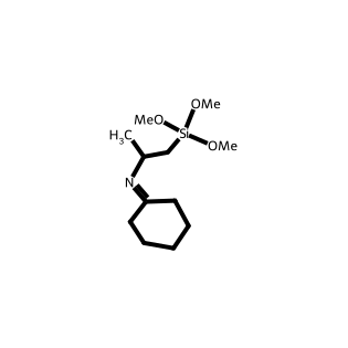 CO[Si](CC(C)N=C1CCCCC1)(OC)OC